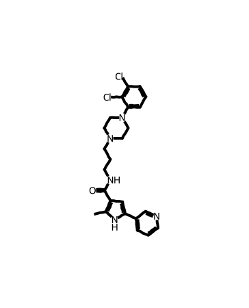 Cc1[nH]c(-c2cccnc2)cc1C(=O)NCCCN1CCN(c2cccc(Cl)c2Cl)CC1